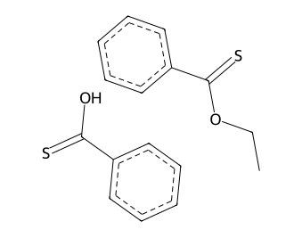 CCOC(=S)c1ccccc1.OC(=S)c1ccccc1